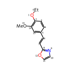 CCOc1ccc(C=Cc2ncco2)cc1OC